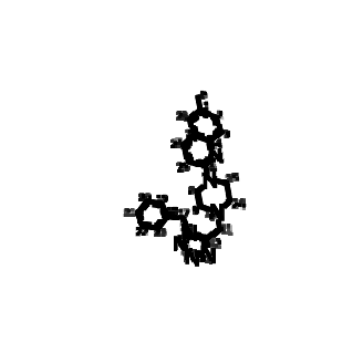 Cc1ccc2nc(N3CCN(Cc4nnnn4Cc4ccccc4)CC3)ccc2c1